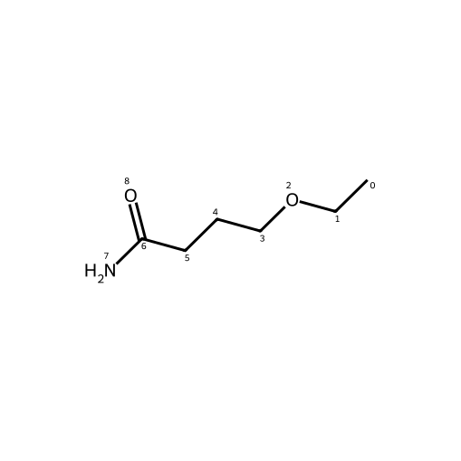 CCOCCCC(N)=O